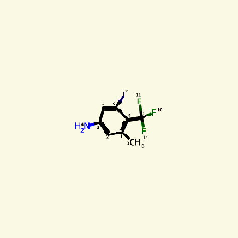 Cc1cc(N)cc(I)c1C(F)(F)F